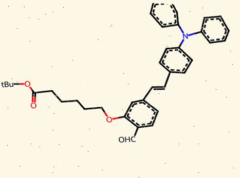 CC(C)(C)OC(=O)CCCCCOc1cc(/C=C/c2ccc(N(c3ccccc3)c3ccccc3)cc2)ccc1C=O